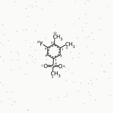 Cc1cc(S(C)(=O)=O)cc(F)c1C